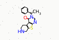 C[C@@H](c1ccccc1)n1cnc2sc3c(c2c1=O)CCNC3